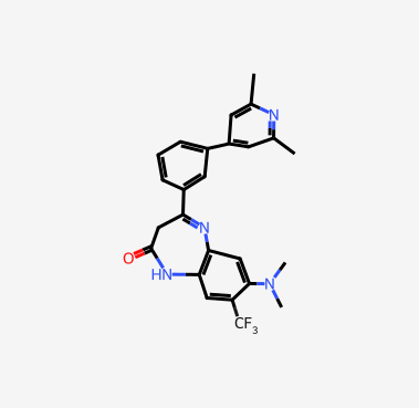 Cc1cc(-c2cccc(C3=Nc4cc(N(C)C)c(C(F)(F)F)cc4NC(=O)C3)c2)cc(C)n1